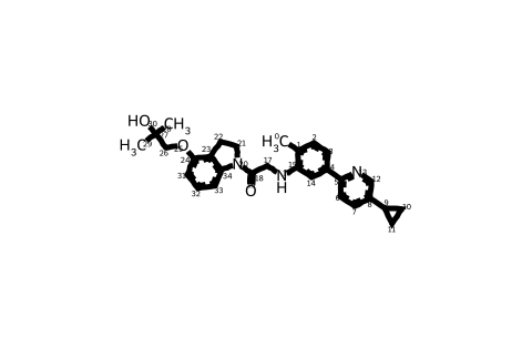 Cc1ccc(-c2ccc(C3CC3)cn2)cc1NCC(=O)N1CCc2c(OCC(C)(C)O)cccc21